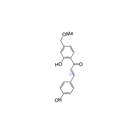 COCc1ccc(C(=O)/C=C/c2ccc(N=O)cc2)c(O)c1